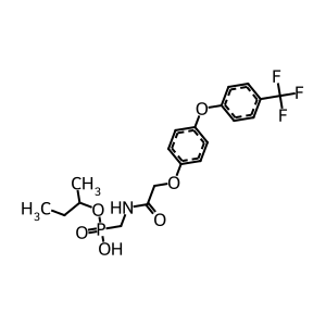 CCC(C)OP(=O)(O)CNC(=O)COc1ccc(Oc2ccc(C(F)(F)F)cc2)cc1